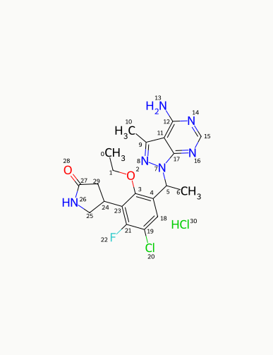 CCOc1c(C(C)n2nc(C)c3c(N)ncnc32)cc(Cl)c(F)c1C1CNC(=O)C1.Cl